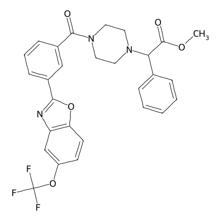 COC(=O)C(c1ccccc1)N1CCN(C(=O)c2cccc(-c3nc4cc(OC(F)(F)F)ccc4o3)c2)CC1